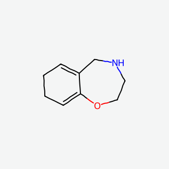 C1=C2CNCCOC2=CCC1